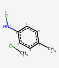 CCl.Cc1ccc(NCl)cc1